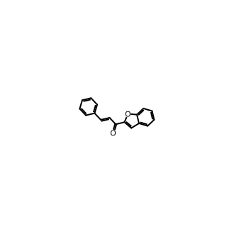 O=C(/C=C/c1ccccc1)c1cc2ccccc2o1